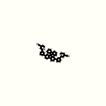 N#Cc1ccnc(-c2cccc(-c3ccc4c(c3)C(c3ccccc3)(c3ccccc3)c3cc(-c5cccc(-c6cc(C#N)ccn6)c5)ccc3-4)c2)c1